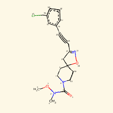 CON(C)C(=O)N1CCC2(CC1)CC(C#Cc1cccc(Cl)c1)=NO2